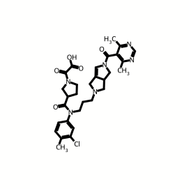 Cc1ccc(N(CCCN2CC3=CN(C(=O)c4c(C)ncnc4C)CC3C2)C(=O)C2CCN(C(=O)C(=O)O)C2)cc1Cl